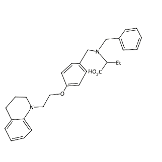 CCC(C(=O)O)N(Cc1ccccc1)Cc1ccc(OCCN2CCCc3ccccc32)cc1